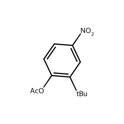 CC(=O)Oc1ccc([N+](=O)[O-])cc1C(C)(C)C